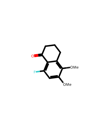 COc1cc(F)c2c(c1OC)CCCC2=O